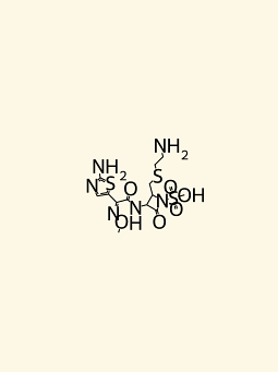 CO/N=C(\C(=O)NC1C(=O)N(S(=O)(=O)O)C1CSCCN)c1cnc(N)s1